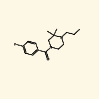 CCCN1CCN(C(=O)c2ccc(F)cc2)CC1(C)C